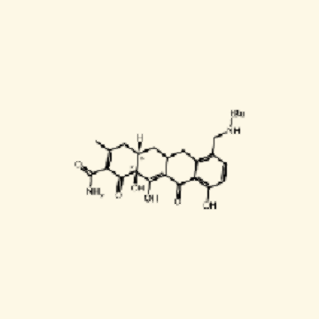 CC1=C(C(N)=O)C(=O)[C@@]2(O)C(O)=C3C(=O)c4c(O)ccc(CNC(C)(C)C)c4CC3C[C@H]2C1